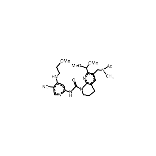 COCCNc1cc(NC(=O)N2CCCc3cc(CN(C)C(C)=O)c(C(OC)OC)nc32)ncc1C#N